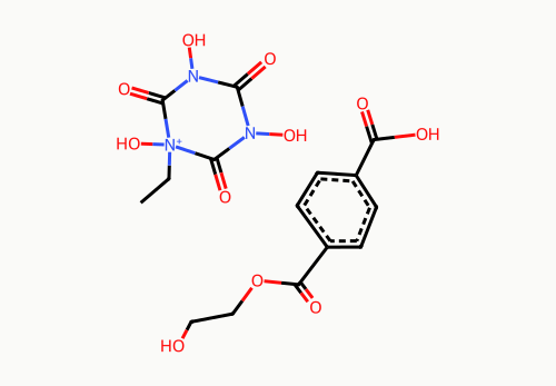 CC[N+]1(O)C(=O)N(O)C(=O)N(O)C1=O.O=C(O)c1ccc(C(=O)OCCO)cc1